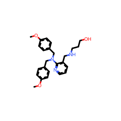 COc1ccc(CN(Cc2ccc(OC)cc2)c2ncccc2CNCCCO)cc1